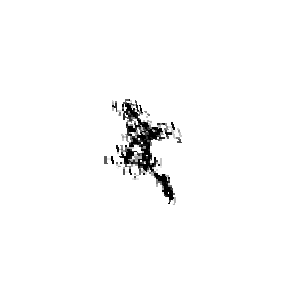 CC(C)C[C@H](NC(=O)CCNC(=O)OC(C)(C)C)C(=O)OC[C@H](COc1ccc(-c2c(C#N)c(N)nc(SCc3coc(-c4ccc(Cl)cc4)n3)c2C#N)cc1)OC(=O)[C@H](CC(C)I)NC(=O)CCNC(=O)OC(C)(C)C